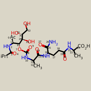 CC(=O)[C@H](NC(=O)C(C)C)[C@@H](OC(=O)NC(C)C(=O)NC(CCC(=O)NC(C)C(=O)O)C(N)=O)[C@H](O)[C@H](O)CO